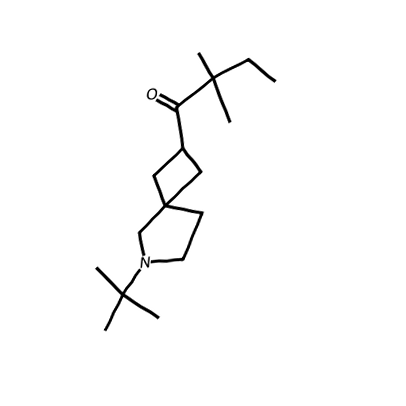 CCC(C)(C)C(=O)C1CC2(CCN(C(C)(C)C)C2)C1